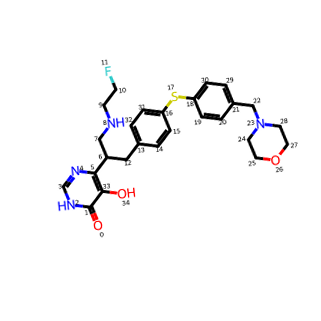 O=c1[nH]cnc(C(CNCCF)Cc2ccc(Sc3ccc(CN4CCOCC4)cc3)cc2)c1O